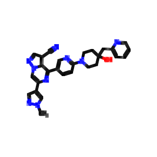 Cn1cc(-c2cn3ncc(C#N)c3c(-c3ccc(N4CCC(O)(Cc5ccccn5)CC4)nc3)n2)cn1